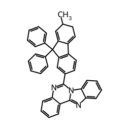 CC1C=C2C(=CC1)c1ccc(-c3nc4ccccc4c4nc5ccccc5n34)cc1C2(c1ccccc1)c1ccccc1